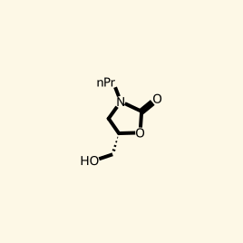 CCCN1C[C@@H](CO)OC1=O